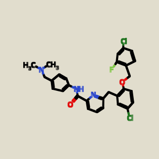 CN(C)Cc1ccc(NC(=O)c2cccc(Cc3cc(Cl)ccc3OCc3ccc(Cl)cc3F)n2)cc1